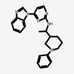 CC(Nc1nccc(-n2cnc3ccccc32)n1)C1CCCN(c2ccccc2)C1